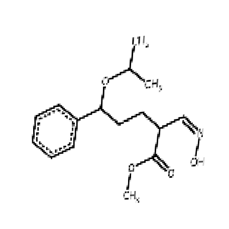 COC(=O)C(/C=N\O)CCC(OC(C)C)c1ccccc1